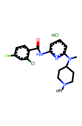 CCCN1CCC(N(C)c2cccc(NC(=O)c3ccc(F)cc3Cl)n2)CC1.Cl